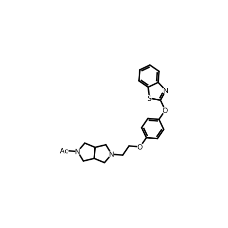 CC(=O)N1CC2CN(CCOc3ccc(Oc4nc5ccccc5s4)cc3)CC2C1